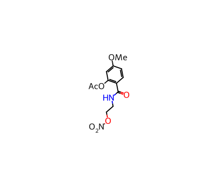 COc1ccc(C(=O)NCCO[N+](=O)[O-])c(OC(C)=O)c1